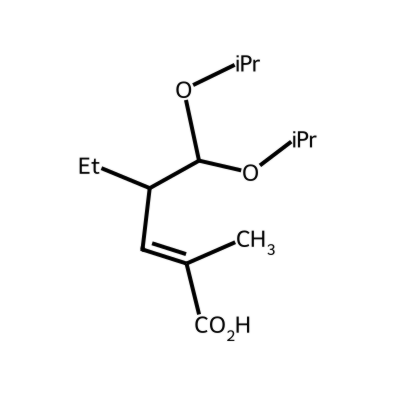 CCC(C=C(C)C(=O)O)C(OC(C)C)OC(C)C